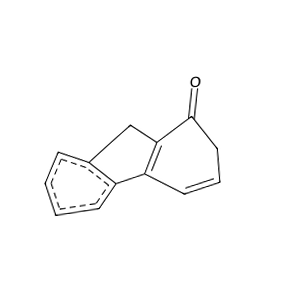 O=C1CC=CC2=C1Cc1ccccc12